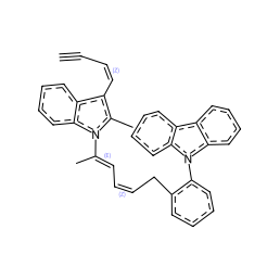 C#C/C=C\c1c(C)n(/C(C)=C/C=C\Cc2ccccc2-n2c3ccccc3c3ccccc32)c2ccccc12